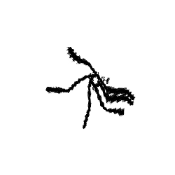 CCCCCCCCCCCCCCCCNCCN(CCCCCCCCCCCCCCCC)CCN(CCCCCCCCCCCCCCCC)CCN(CCCCCCCCCCCCCCCC)CCN(CCCCCCCCCCCCCCCC)CCN(CC)CCCCCCCCCCCCCCCC